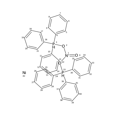 O=[N+](O[PH](c1ccccc1)(c1ccccc1)c1ccccc1)O[PH](c1ccccc1)(c1ccccc1)c1ccccc1.[Ni]